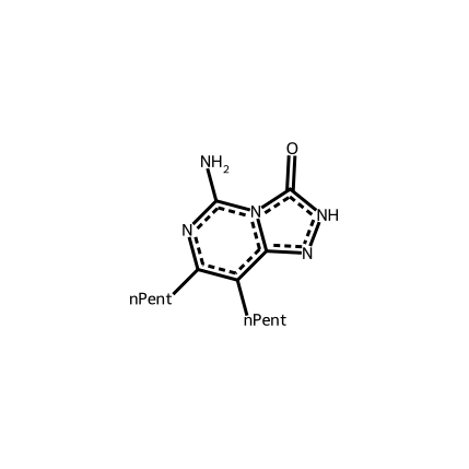 CCCCCc1nc(N)n2c(=O)[nH]nc2c1CCCCC